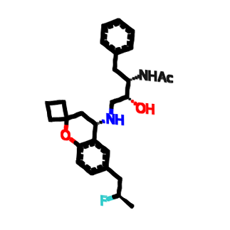 CC(=O)N[C@@H](Cc1ccccc1)[C@H](O)CN[C@H]1CC2(CCC2)Oc2ccc(C[C@@H](C)F)cc21